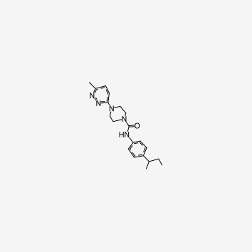 CCC(C)c1ccc(NC(=O)N2CCN(c3ccc(C)nn3)CC2)cc1